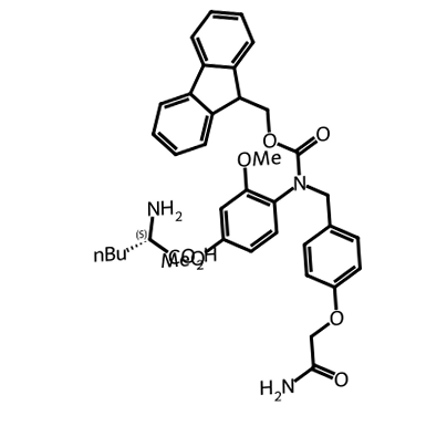 CCCC[C@H](N)C(=O)O.COc1ccc(N(Cc2ccc(OCC(N)=O)cc2)C(=O)OCC2c3ccccc3-c3ccccc32)c(OC)c1